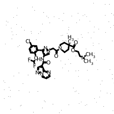 CN(C)CCOC(=O)C1(C)CCN(C(=O)Cn2cc(NC(=O)c3cnn4cccnc34)c(-c3cc(Cl)ccc3OC(F)F)n2)CC1